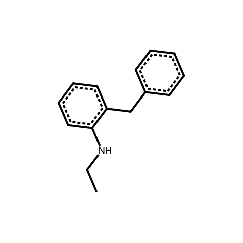 CCNc1ccccc1Cc1ccccc1